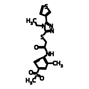 CCn1c(SCC(=O)Nc2ccc(S(C)(=O)=O)cc2C)nnc1-c1ccsc1